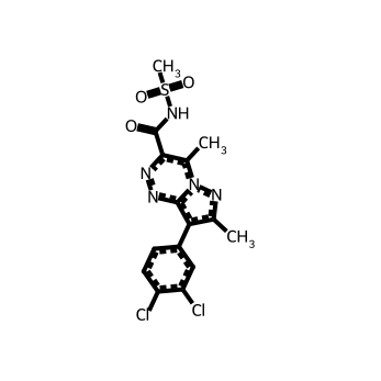 Cc1nn2c(C)c(C(=O)NS(C)(=O)=O)nnc2c1-c1ccc(Cl)c(Cl)c1